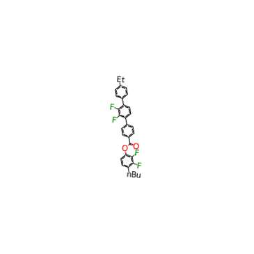 CCCCc1ccc(OC(=O)c2ccc(-c3ccc(-c4ccc(CC)cc4)c(F)c3F)cc2)c(F)c1F